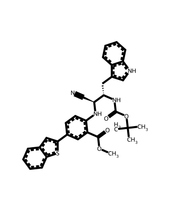 COC(=O)c1cc(-c2cc3ccccc3s2)ccc1N[C@@H](C#N)[C@H](Cc1c[nH]c2ccccc12)NC(=O)OC(C)(C)C